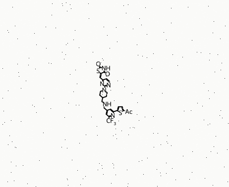 CC(=O)c1ccc(-c2cc(CNCC3CCN(c4nccc(C=C5SC(=O)NC5=O)n4)CC3)cc(C(F)(F)F)n2)s1